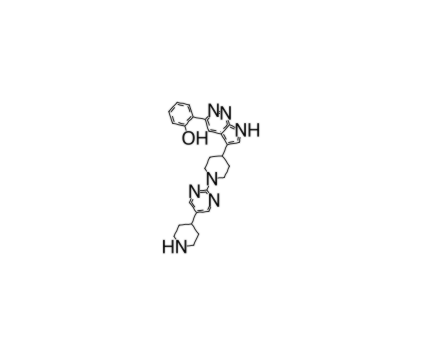 Oc1ccccc1-c1cc2c(C3CCN(c4ncc(C5CCNCC5)cn4)CC3)c[nH]c2nn1